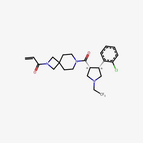 C=CC(=O)N1CC2(CCN(C(=O)[C@H]3CN(CC(F)(F)F)C[C@H]3c3ccccc3Cl)CC2)C1